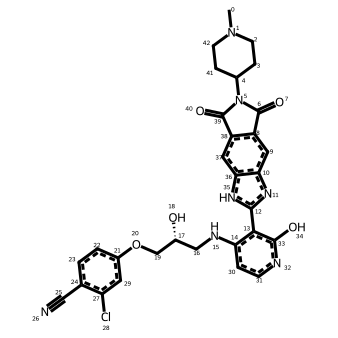 CN1CCC(N2C(=O)c3cc4nc(-c5c(NC[C@@H](O)COc6ccc(C#N)c(Cl)c6)ccnc5O)[nH]c4cc3C2=O)CC1